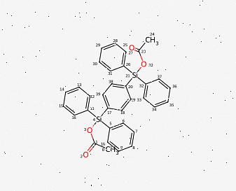 CC(=O)O[Si](c1ccccc1)(c1ccccc1)c1ccc([Si](OC(C)=O)(c2ccccc2)c2ccccc2)cc1